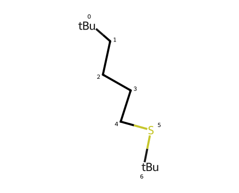 CC(C)(C)CCCCSC(C)(C)C